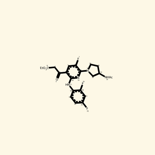 CCOC(=O)CC(=O)c1cc(F)c(N2CCC(NC(C)=O)C2)nc1Nc1ccc(F)cc1F